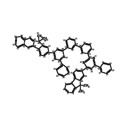 CC1(C)c2ccccc2-c2ccc(-c3nc(-c4ccccc4)nc(-c4cccc(-c5cccc(-c6cc(-c7ccc8c(c7)C(C)(C)c7cc9ccccc9cc7-8)nc(-c7ccccc7)n6)c5)c4)n3)cc21